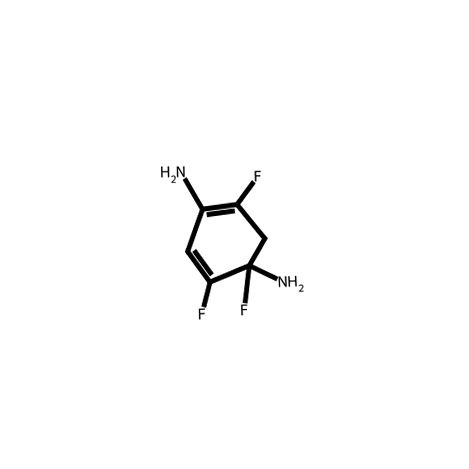 NC1=C(F)CC(N)(F)C(F)=C1